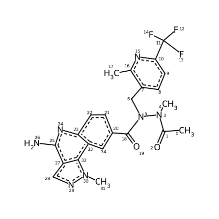 CC(=O)N(C)N(Cc1ccc(C(F)(F)F)nc1C)C(=O)c1ccc2nc(N)c3cnn(C)c3c2c1